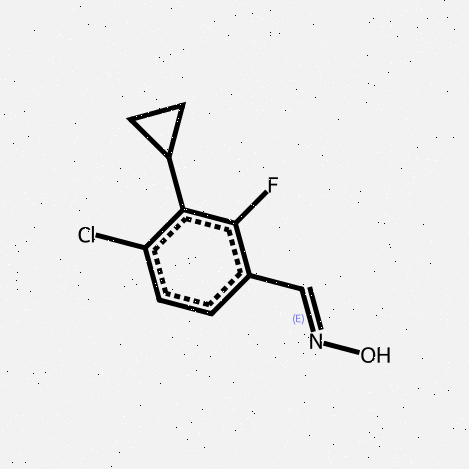 O/N=C/c1ccc(Cl)c(C2CC2)c1F